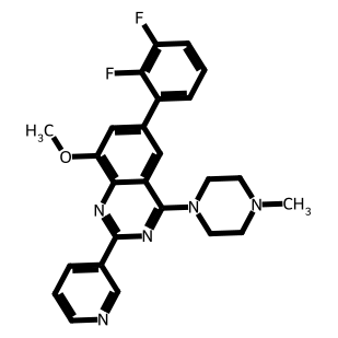 COc1cc(-c2cccc(F)c2F)cc2c(N3CCN(C)CC3)nc(-c3cccnc3)nc12